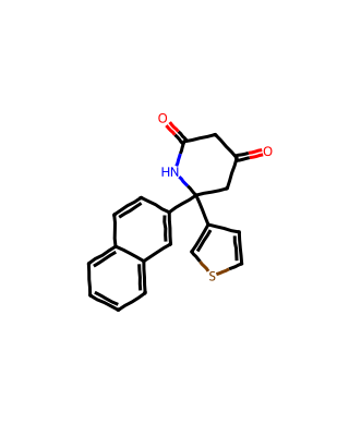 O=C1CC(=O)NC(c2ccsc2)(c2ccc3ccccc3c2)C1